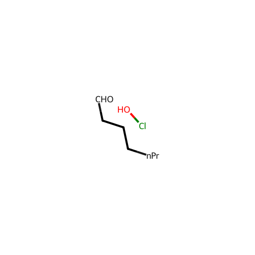 CCCCCCC=O.OCl